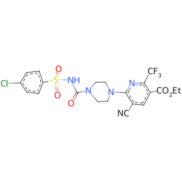 CCOC(=O)c1cc(C#N)c(N2CCN(C(=O)NS(=O)(=O)c3ccc(Cl)cc3)CC2)nc1C(F)(F)F